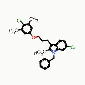 Cc1cc(OCCCc2c(C(=O)O)n(Cc3ccccc3)c3cc(Cl)ccc23)cc(C)c1Cl